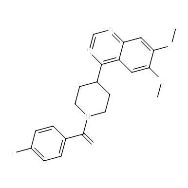 COc1cc2ncnc(C3CCN(C(=O)c4ccc(F)cc4)CC3)c2cc1OC